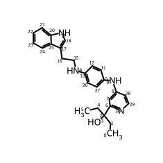 CCC(O)(CC)c1cc(Nc2ccc(NCCc3c[nH]c4ccccc34)cc2)ccn1